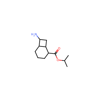 CC(C)OC(=O)C1CCCC2C(N)CC12